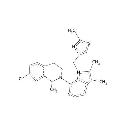 Cc1nc(Cn2c(C)c(C)c3ccnc(N4CCc5ccc(Cl)cc5C4C)c32)cs1